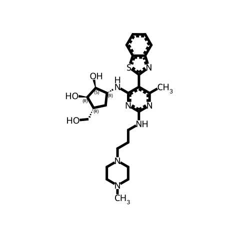 Cc1nc(NCCCN2CCN(C)CC2)nc(N[C@@H]2C[C@H](CO)[C@@H](O)[C@H]2O)c1-c1nc2ccccc2s1